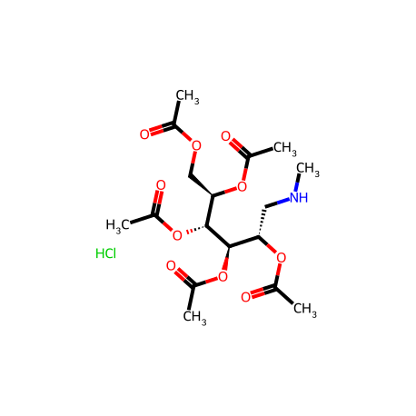 CNC[C@H](OC(C)=O)[C@@H](OC(C)=O)[C@H](OC(C)=O)[C@@H](COC(C)=O)OC(C)=O.Cl